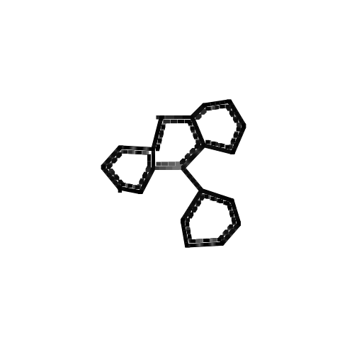 [c]1ccc2[c]c3ccccc3c(-c3ccccc3)c2c1